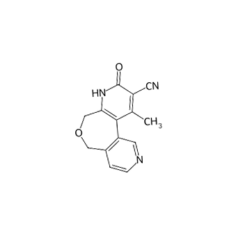 Cc1c2c([nH]c(=O)c1C#N)COCc1ccncc1-2